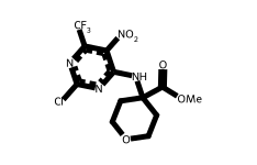 COC(=O)C1(Nc2nc(Cl)nc(C(F)(F)F)c2[N+](=O)[O-])CCOCC1